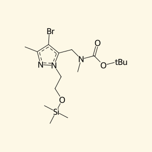 Cc1nn(CCO[Si](C)(C)C)c(CN(C)C(=O)OC(C)(C)C)c1Br